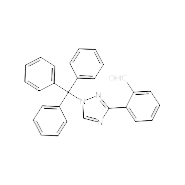 O=Cc1ccccc1-c1ncn(C(c2ccccc2)(c2ccccc2)c2ccccc2)n1